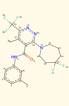 Cc1cccc(NC(=O)c2c(N3CCCC(F)(F)CC3)nnc(C(F)(F)F)c2C)c1